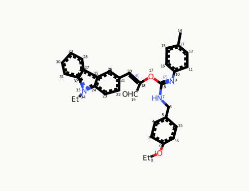 CCOc1ccc(CN/C(=N/c2ccc(C)cc2)O/C(C=O)=C/c2ccc3c(c2)c2ccccc2n3CC)cc1